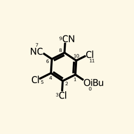 CC(C)COc1c(Cl)c(Cl)c(C#N)c(C#N)c1Cl